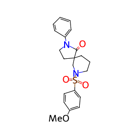 COc1ccc(S(=O)(=O)N2CCCC3(CCN(c4ccccc4)C3=O)C2)cc1